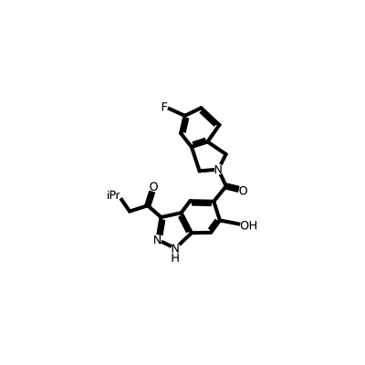 CC(C)CC(=O)c1n[nH]c2cc(O)c(C(=O)N3Cc4ccc(F)cc4C3)cc12